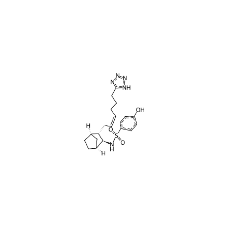 O=S(=O)(N[C@H]1[C@H]2CC[C@H](C2)[C@@H]1C/C=C\CCCc1nnn[nH]1)c1ccc(O)cc1